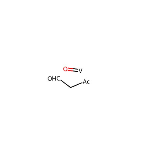 CC(=O)CC=O.[O]=[V]